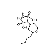 CCCCC1CN(C(P(=O)(O)O)P(=O)(O)O)CCS1